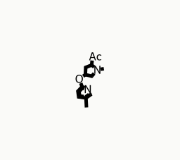 CC(=O)C1CC(Oc2ccc(C)cn2)CN1C